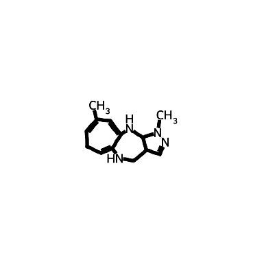 CC1=CCC=C2NCC3C=NN(C)C3NC2=C1